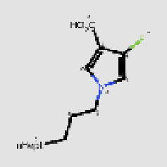 CCCCCCCCCCn1cc(F)c(C(=O)O)c1